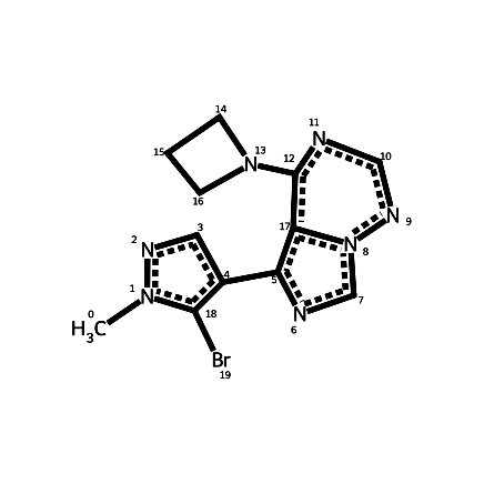 Cn1ncc(-c2ncn3ncnc(N4CCC4)c23)c1Br